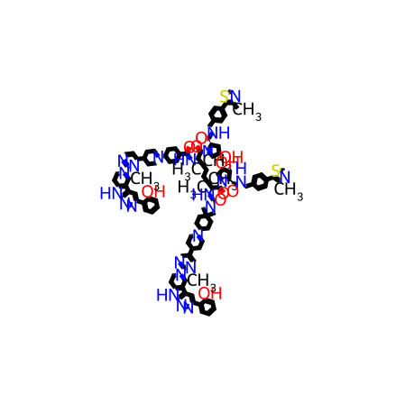 Cc1ncsc1-c1ccc(CNC(=O)[C@@H]2C[C@@H](O)CN2C(=O)[C@@H](NC(=O)C2CCC(N3CCC(c4ccnc(N5CCc6[nH]c7nnc(-c8ccccc8O)cc7c6[C@@H]5C)n4)CC3)CC2)C(C)(C)CCC(C)(C)[C@H](NC(=O)N2CC3(CCC(N4CCC(c5cnc(N6CCc7[nH]c8nnc(-c9ccccc9O)cc8c7[C@H]6C)nc5)CC4)CC3)C2)C(=O)N2C[C@H](O)C[C@H]2C(=O)NCc2ccc(-c3scnc3C)cc2)cc1